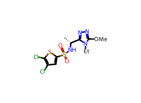 CCn1c(OC)nnc1[C@@H](C)NS(=O)(=O)c1cc(Cl)c(Cl)s1